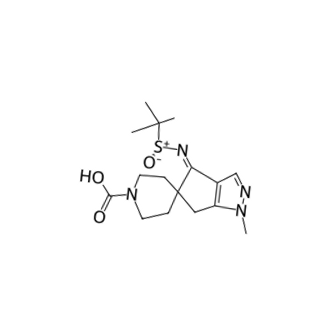 Cn1ncc2c1CC1(CCN(C(=O)O)CC1)/C2=N\[S@+]([O-])C(C)(C)C